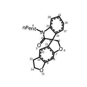 CCCCCN1C(=O)[C@]2(COc3cc4c(cc32)CCO4)c2ccccc21